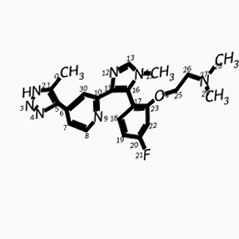 Cc1[nH]nnc1-c1ccnc(-c2ncn(C)c2-c2ccc(F)cc2OCCN(C)C)c1